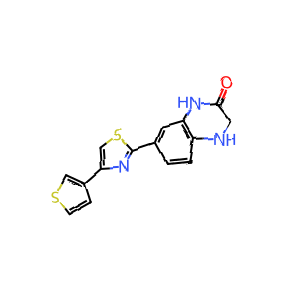 O=C1CNc2ccc(-c3nc(-c4ccsc4)cs3)cc2N1